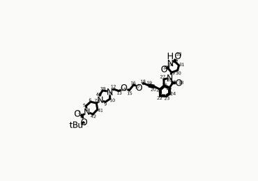 CC(C)(C)OC(=O)N1CCC(N2CCN(CCOCCOCC#Cc3cccc4c3CN(C3CCC(=O)NC3=O)C4=O)CC2)CC1